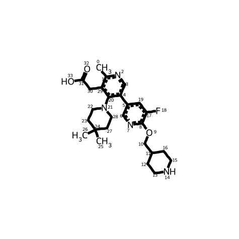 Cc1ncc(-c2cnc(OCC3CCNCC3)c(F)c2)c(N2CCC(C)(C)CC2)c1CC(=O)O